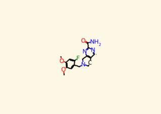 COc1cc(F)c(CN2CCc3[c]nc(C(N)=O)nc3C2)cc1OC